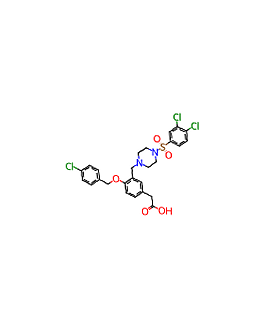 O=C(O)Cc1ccc(OCc2ccc(Cl)cc2)c(CN2CCN(S(=O)(=O)c3ccc(Cl)c(Cl)c3)CC2)c1